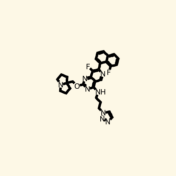 Fc1c(-c2cccc3cccc(F)c23)ncc2c(NCCCn3ccnn3)nc(OCC34CCCN3CCC4)nc12